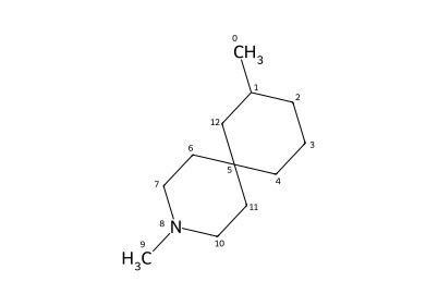 CC1CCCC2(CCN(C)CC2)C1